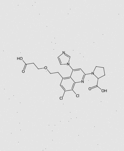 O=C(O)CCOCCc1cc(Cl)c(Cl)c2nc(N3CCCC3C(=O)O)cc(-n3ccnc3)c12